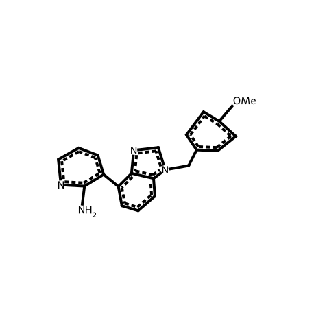 COc1ccc(Cn2cnc3c(-c4cccnc4N)cccc32)cc1